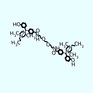 C=CCN1C[C@H](C)N([C@H](c2ccc(C(=O)NCCOCCOCCNC(=O)c3ccc([C@H](c4cccc(O)c4)N4C[C@@H](C)N(CC=C)C[C@@H]4C)cc3)cc2)c2cccc(O)c2)C[C@H]1C